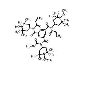 C=CC(=O)N(C(=O)c1cc(C(=O)N(C(=O)C=C)C2CC(C)(C)N(OC)C(C)(C)C2)cc(C(=O)N(C(=O)C=C)C2CC(C)(C)N(OC)C(C)(C)C2)c1)C1CC(C)(C)N(O)C(C)(C)C1